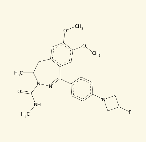 CNC(=O)N1N=C(c2ccc(N3CC(F)C3)cc2)c2cc(OC)c(OC)cc2CC1C